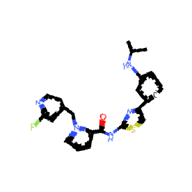 CC(C)Nc1cccc(-c2csc(NC(=O)c3cccn3Cc3ccnc(F)c3)n2)c1